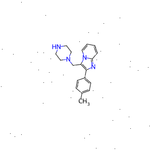 Cc1ccc(-c2nc3ccccn3c2CN2CCNCC2)cc1